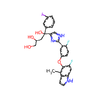 Cc1c(Oc2ccc(F)c(-c3nc(C(O)(CC(O)CO)c4cccc(I)c4)c[nH]3)c2)c(F)cc2[nH]ccc12